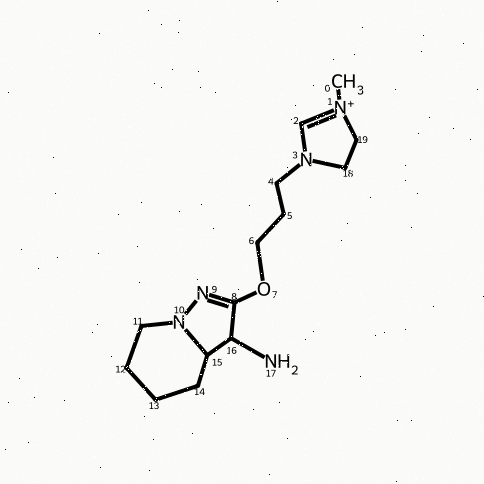 C[N+]1=CN(CCCOC2=NN3CCCCC3C2N)CC1